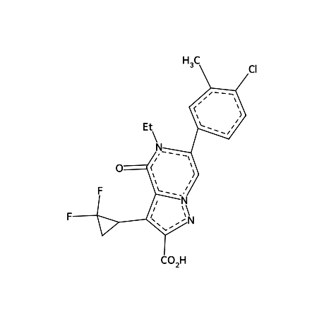 CCn1c(-c2ccc(Cl)c(C)c2)cn2nc(C(=O)O)c(C3CC3(F)F)c2c1=O